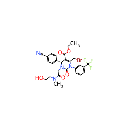 CCOC(=O)C1=C(CBr)N(c2cccc(C(F)(F)F)c2)C(=O)N(CC(=O)N(C)CCO)[C@@H]1c1ccc(C#N)cc1